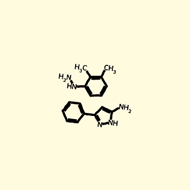 Cc1cccc(NN)c1C.Nc1cc(-c2ccccc2)n[nH]1